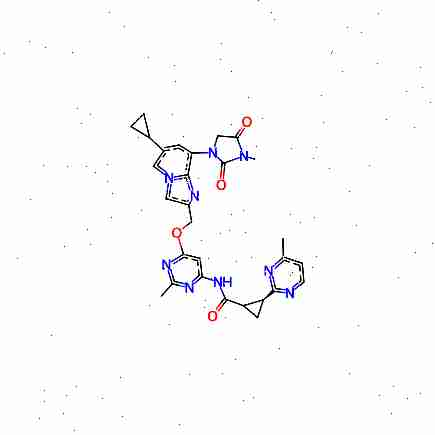 Cc1ccnc([C@H]2CC2C(=O)Nc2cc(OCc3cn4cc(C5CC5)cc(N5CC(=O)N(C)C5=O)c4n3)nc(C)n2)n1